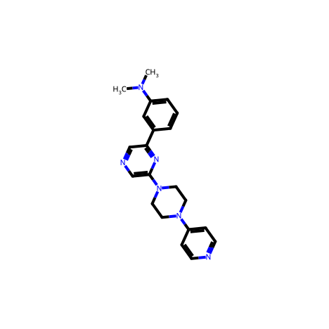 CN(C)c1cccc(-c2cncc(N3CCN(c4ccncc4)CC3)n2)c1